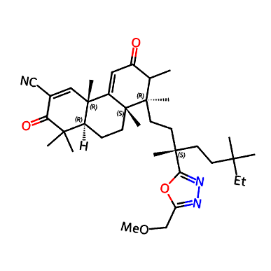 CCC(C)(C)CC[C@@](C)(CC[C@]1(C)C(C)C(=O)C=C2[C@@]3(C)C=C(C#N)C(=O)C(C)(C)[C@@H]3CC[C@]21C)c1nnc(COC)o1